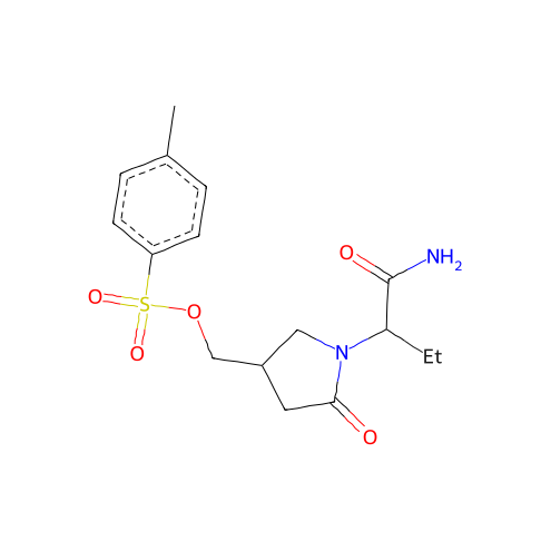 CCC(C(N)=O)N1CC(COS(=O)(=O)c2ccc(C)cc2)CC1=O